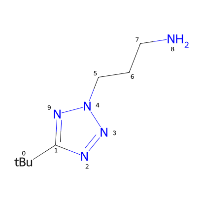 CC(C)(C)c1nnn(CCCN)n1